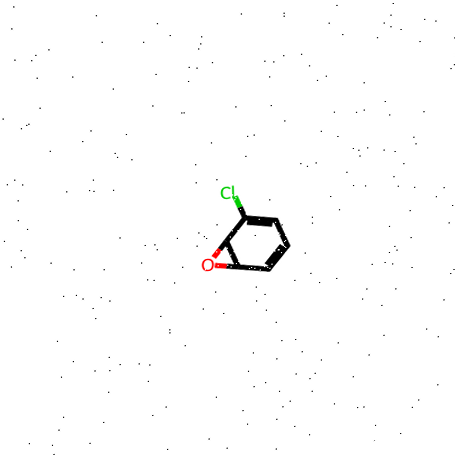 ClC1=CC=CC2OC12